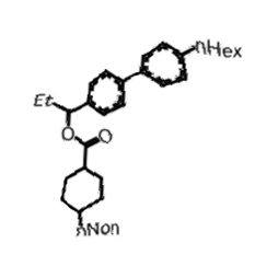 CCCCCCCCCC1CCC(C(=O)OC(CC)c2ccc(-c3ccc(CCCCCC)cc3)cc2)CC1